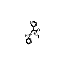 CCOC(=O)C(=CNNc1ccccn1)c1cccnc1